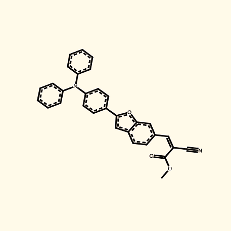 COC(=O)/C(C#N)=C\c1ccc2cc(-c3ccc(N(c4ccccc4)c4ccccc4)cc3)oc2c1